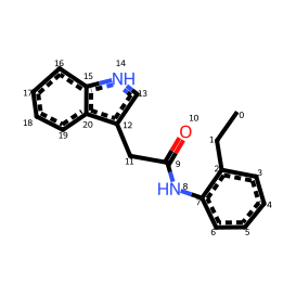 CCc1ccccc1NC(=O)Cc1c[nH]c2ccccc12